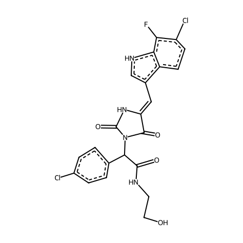 O=C(NCCO)C(c1ccc(Cl)cc1)N1C(=O)N/C(=C\c2c[nH]c3c(F)c(Cl)ccc23)C1=O